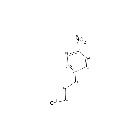 O=[N+]([O-])c1ccc(CCCCl)cc1